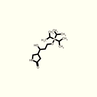 CC(C)[Si](OCCC(O)C1CNC(=O)C1)(C(C)C)C(C)C